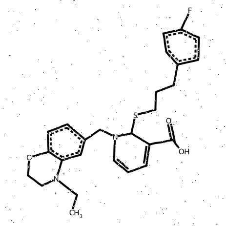 CCN1CCOc2ccc(CN3C=CC=C(C(=O)O)C3SCCCc3ccc(F)cc3)cc21